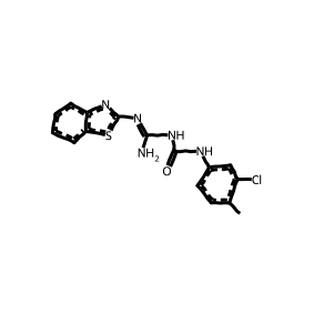 Cc1ccc(NC(=O)N/C(N)=N/c2nc3ccccc3s2)cc1Cl